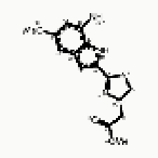 COC(=O)C[C@@H]1CSC(c2cc3cc(OC)cc(N)c3[nH]2)=N1